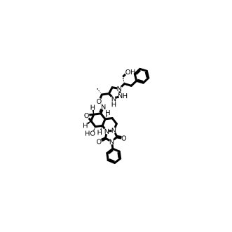 C[C@@H](O/N=C1/[C@H]2CCn3c(=O)n(-c4ccccc4)c(=O)n3[C@H]2[C@H](O)[C@@H]2O[C@H]12)C1CN([C@H](CO)Cc2ccccc2)NN1